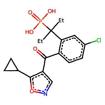 CCC(CC)(c1cc(Cl)ccc1C(=O)c1cnoc1C1CC1)P(=O)(O)O